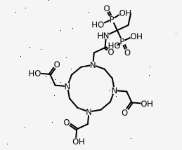 CCC(NC(=O)CN1CCN(CC(=O)O)CCN(CC(=O)O)CCN(CC(=O)O)CC1)(P(=O)(O)O)P(=O)(O)O